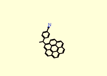 CC(c1ccc(C#N)cc1)c1cc2ccc3ccc4ccc5ccc6ccc1c1c6c5c4c3c21